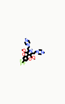 COC(=O)C1=C(CCN2CCN(C)CC2)N(C)C(CCN2CCN(C)CC2)=C(C(=O)OC)C1c1ccc(C(F)(F)F)cc1